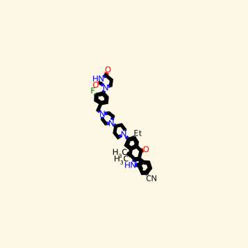 CCc1cc2c(cc1N1CCC(N3CCN(Cc4ccc(N5CCC(=O)NC5=O)c(F)c4)CC3)CC1)C(C)(C)c1[nH]c3cc(C#N)ccc3c1C2=O